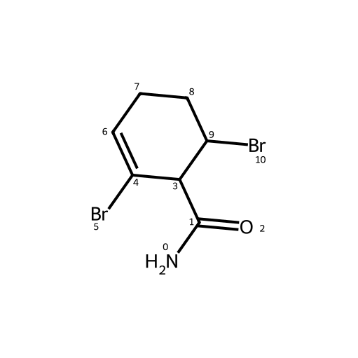 NC(=O)C1C(Br)=CCCC1Br